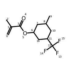 C=C(C)C(=O)OC1CC(C)CC(C(F)(F)F)C1